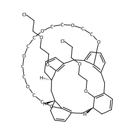 ClCCOCCOC1=C2C=CC[C@@H]1CC1=C3OCCOCCOCCOCCOCCOc4c(cccc4CC4=C(OCCOCCCl)[C@H](CC=C4)C[C@H]3CC=C1)C2